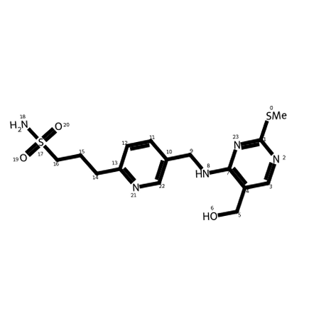 CSc1ncc(CO)c(NCc2ccc(CCCS(N)(=O)=O)nc2)n1